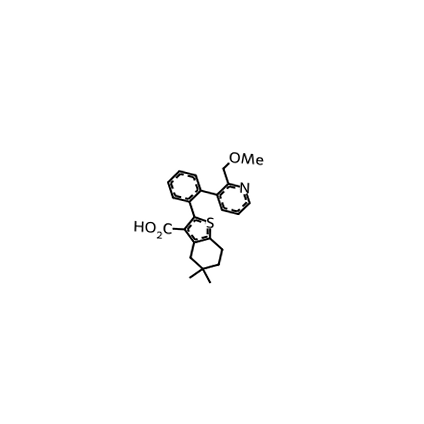 COCc1ncccc1-c1ccccc1-c1sc2c(c1C(=O)O)CC(C)(C)CC2